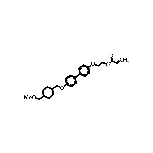 C=CC(=O)OCCOc1ccc(-c2ccc(OCC3CCC(COC)CC3)cc2)cc1